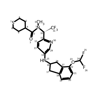 CN(C(=O)C1CCSCC1)[C@@H](c1ccc(NC2Cc3cccc(OC(F)F)c3C2)cn1)C(F)(F)F